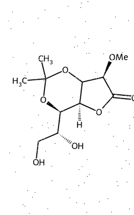 CO[C@H]1C(=O)O[C@@H]2C1OC(C)(C)O[C@@H]2[C@H](O)CO